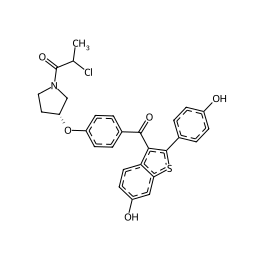 CC(Cl)C(=O)N1CC[C@@H](Oc2ccc(C(=O)c3c(-c4ccc(O)cc4)sc4cc(O)ccc34)cc2)C1